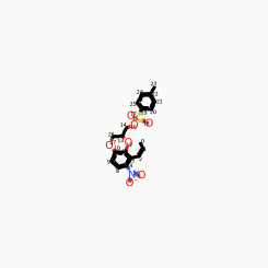 C/C=C\c1c([N+](=O)[O-])ccc2c1OC(COS(=O)(=O)c1ccc(C)cc1)CO2